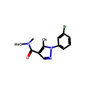 CON(C)C(=O)c1cnn(-c2cccc(Br)c2)c1C#N